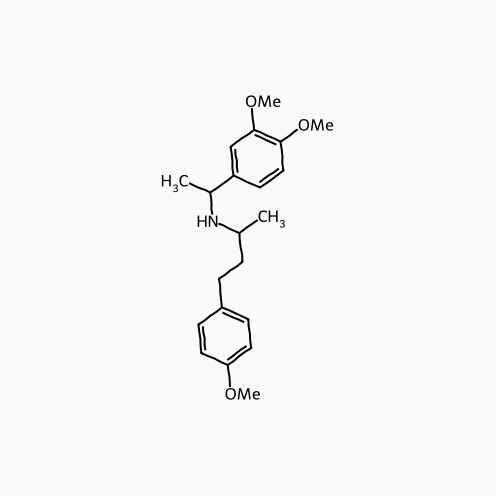 COc1ccc(CCC(C)NC(C)c2ccc(OC)c(OC)c2)cc1